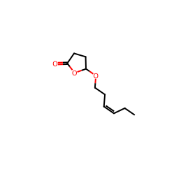 CC/C=C\CCOC1CCC(=O)O1